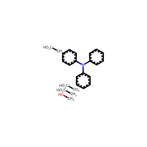 CC(=O)O.CC(=O)O.CC(=O)O.CO.c1ccc(N(c2ccccc2)c2ccccc2)cc1